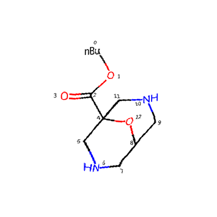 CCCCOC(=O)C12CNCC(CNC1)O2